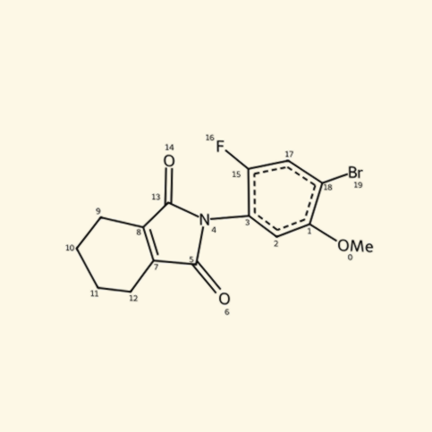 COc1cc(N2C(=O)C3=C(CCCC3)C2=O)c(F)cc1Br